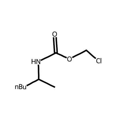 CCCCC(C)NC(=O)OCCl